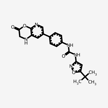 CC(C)(C)c1cc(NC(=O)Nc2ccc(-c3cnc4c(c3)NCC(=O)O4)cc2)no1